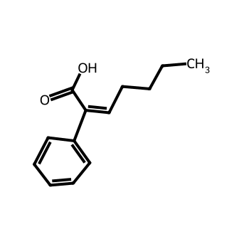 CCCCC=C(C(=O)O)c1ccccc1